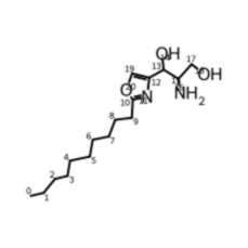 CCCCCCCCCCc1nc(C(O)C(N)CO)co1